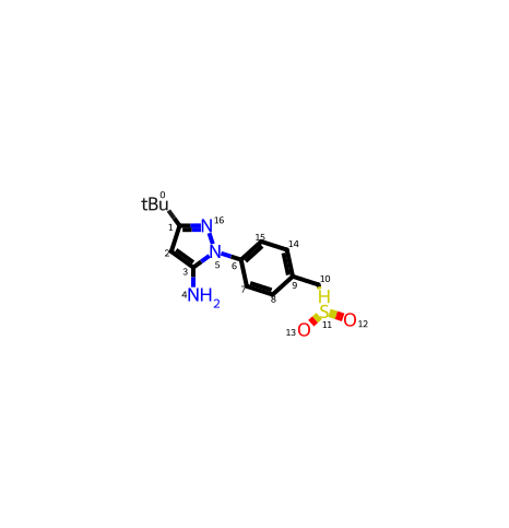 CC(C)(C)c1cc(N)n(-c2ccc(C[SH](=O)=O)cc2)n1